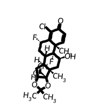 CC(=O)[C@@]12OC(C)(C)O[C@@H]1C[C@H]1[C@@H]3C[C@H](F)C4=C(Cl)C(=O)C=C[C@]4(C)[C@@]3(F)[C@@H](O)C[C@@]12C